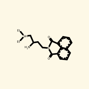 CC[SiH](CC)CC(N)CCN1C(=O)c2cccc3cccc(c23)C1=O